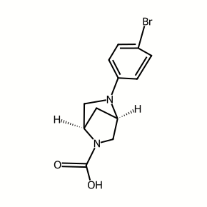 O=C(O)N1C[C@H]2C[C@@H]1CN2c1ccc(Br)cc1